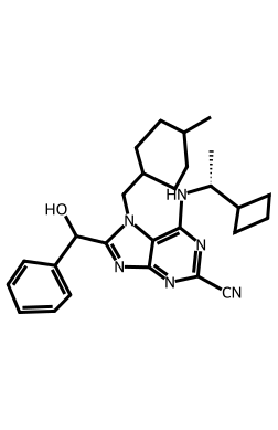 CC1CCC(Cn2c(C(O)c3ccccc3)nc3nc(C#N)nc(N[C@H](C)C4CCC4)c32)CC1